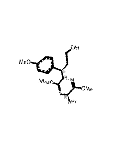 CCC[C@H]1N=C(OC)[C@H]([C@H](CCO)c2ccc(OC)cc2)N=C1OC